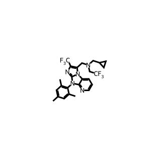 Cc1cc(C)c(-n2c3ncccc3n3c(CN(CC4CC4)CC(F)(F)F)c(C(F)(F)F)nc23)c(C)c1